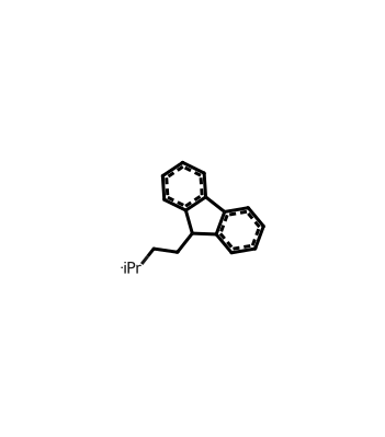 C[C](C)CCC1c2ccccc2-c2ccccc21